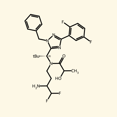 CC(O)C(=O)N(CCC(N)C(F)F)[C@@H](c1nc(-c2cc(F)ccc2F)nn1Cc1ccccc1)C(C)(C)C